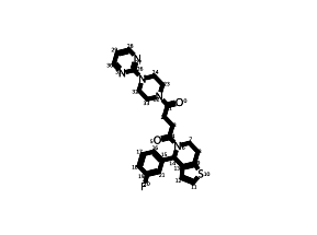 O=C(CCC(=O)N1CCc2sccc2C1c1cccc(F)c1)N1CCN(c2ncccn2)CC1